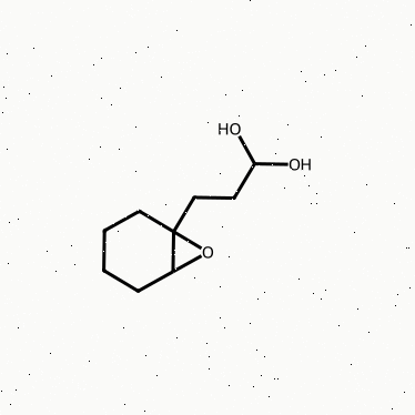 OC(O)CCC12CCCCC1O2